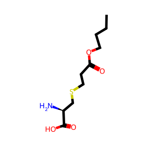 CCCCOC(=O)CCSC[C@H](N)C(=O)O